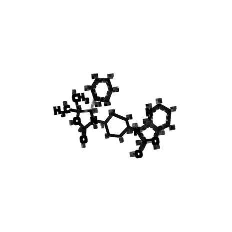 CC1(C)OC(=O)N(C2CCC(n3c(=O)oc4cccnc43)CC2)[C@H]1c1ccccc1